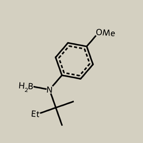 BN(c1ccc(OC)cc1)C(C)(C)CC